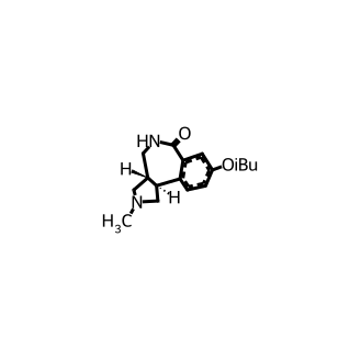 CC(C)COc1ccc2c(c1)C(=O)NC[C@H]1CN(C)C[C@H]21